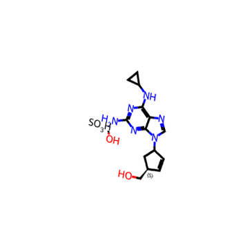 Nc1nc(NC2CC2)c2ncn(C3C=C[C@@H](CO)C3)c2n1.O=S(=O)(O)O